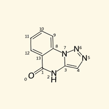 O=c1[nH]c2cnnn2c2ccccc12